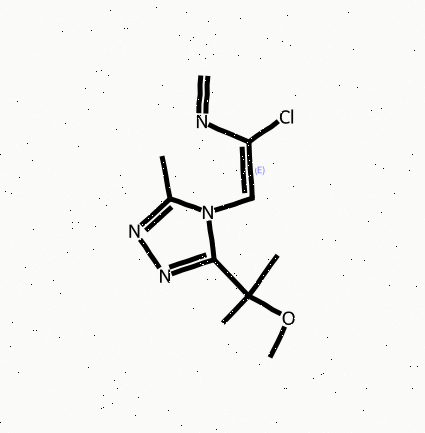 C=N/C(Cl)=C\n1c(C)nnc1C(C)(C)OC